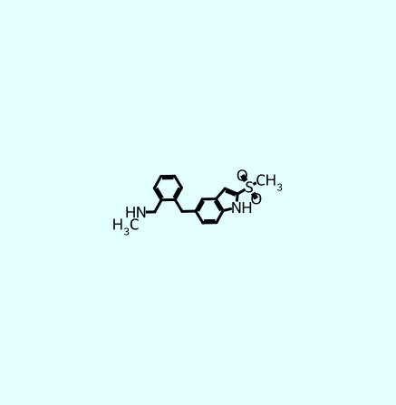 CNCc1ccccc1Cc1ccc2[nH]c(S(C)(=O)=O)cc2c1